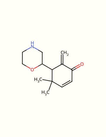 C=C1C(=O)C=CC(C)(C)C1C1CNCCO1